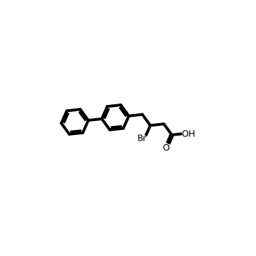 O=C(O)CC(Br)Cc1ccc(-c2ccccc2)cc1